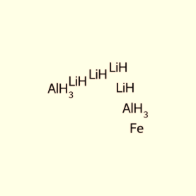 [AlH3].[AlH3].[Fe].[LiH].[LiH].[LiH].[LiH]